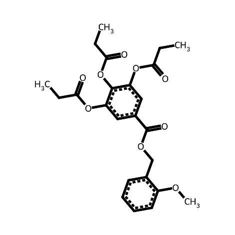 CCC(=O)Oc1cc(C(=O)OCc2ccccc2OC)cc(OC(=O)CC)c1OC(=O)CC